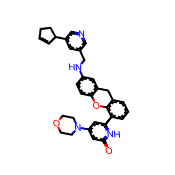 O=c1cc(N2CCOCC2)cc(-c2cccc3c2Oc2ccc(NCc4cncc(C5C=CCC5)c4)cc2C3)[nH]1